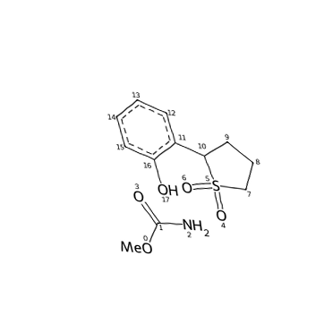 COC(N)=O.O=S1(=O)CCCC1c1ccccc1O